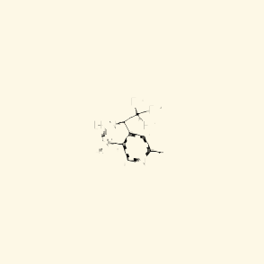 C[C@@](N)(c1cc(Cl)ncc1[N+](=O)[O-])C(F)(F)F